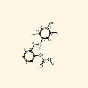 COC(=O)Sc1ccccc1COc1cc(C)c(C)cc1C